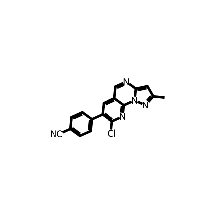 Cc1cc2ncc3cc(-c4ccc(C#N)cc4)c(Cl)nc3n2n1